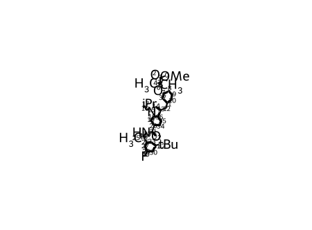 COC(=O)C(C)(C)Oc1cccc(Cc2cn(CC(C)C)c3cc(C(=O)N[C@@H](C)c4cc(F)cc(C(C)(C)C)c4)ccc23)c1